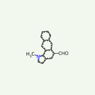 Cn1ccc2cc(C=O)c3cc4ccccc4cc3c21